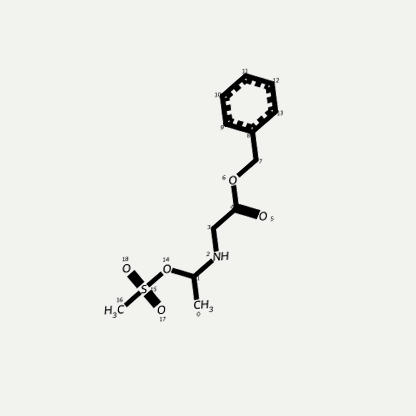 CC(NCC(=O)OCc1ccccc1)OS(C)(=O)=O